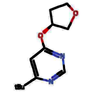 CC(C)(C)c1cc(O[C@H]2CCOC2)ncn1